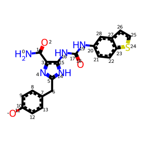 NC(=O)c1nc(Cc2ccc([O])cc2)[nH]c1NC(=O)Nc1ccc2sccc2c1